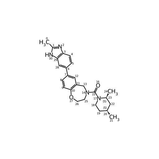 Cc1nc2ccc(-c3ccc4c(c3)CN(C(=O)N3CC[C@H](C)C[C@@H]3C)CCO4)cc2[nH]1